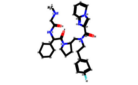 CNCC(=O)NC(C(=O)N1CCCC1CN(CCc1ccc(F)cc1)C(=O)c1cn2ccccc2n1)C1CCCCC1